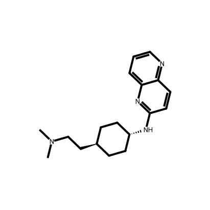 CN(C)CC[C@H]1CC[C@H](Nc2ccc3ncccc3n2)CC1